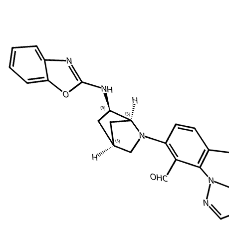 O=Cc1c(N2C[C@H]3C[C@@H](Nc4nc5ccccc5o4)[C@@H]2C3)ccc(F)c1-n1nccn1